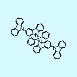 c1ccc([Si](c2ccccc2)(n2c3ccccc3c3cc(-n4c5ccccc5c5ccccc54)ccc32)n2c3ccccc3c3cc(-n4c5ccccc5c5ccccc54)ccc32)cc1